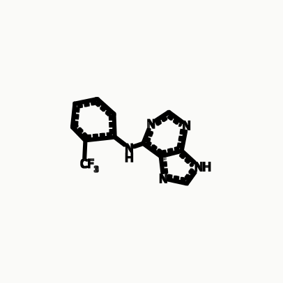 FC(F)(F)c1ccccc1Nc1ncnc2[nH]cnc12